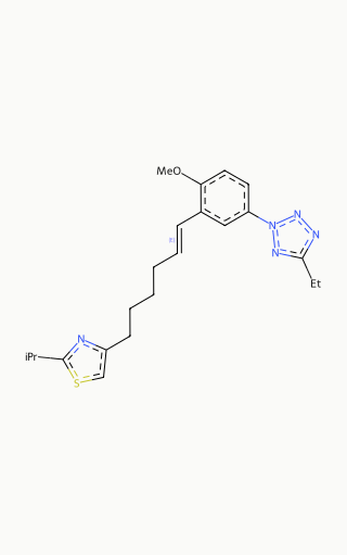 CCc1nnn(-c2ccc(OC)c(/C=C/CCCCc3csc(C(C)C)n3)c2)n1